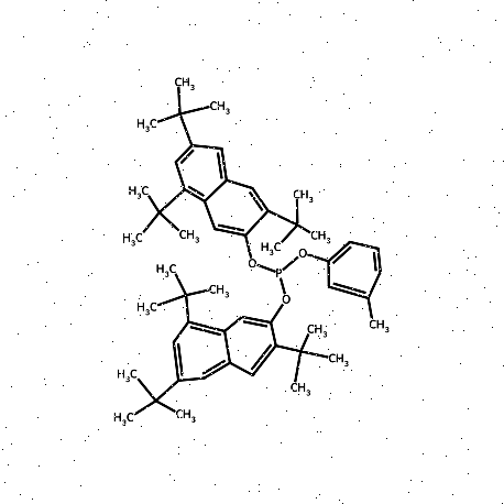 Cc1cccc(OP(Oc2cc3c(C(C)(C)C)cc(C(C)(C)C)cc3cc2C(C)(C)C)Oc2cc3c(C(C)(C)C)cc(C(C)(C)C)cc3cc2C(C)(C)C)c1